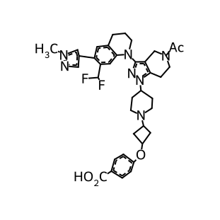 CC(=O)N1CCc2c(c(N3CCCc4cc(-c5cnn(C)c5)c(C(F)F)cc43)nn2C2CCN(C3CC(Oc4ccc(C(=O)O)cc4)C3)CC2)C1